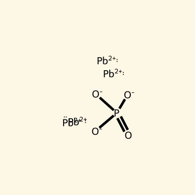 O=P([O-])([O-])[O-].[Pb+2].[Pb+2].[Pb+2].[Pb+2]